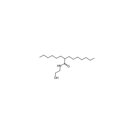 CCCCCCCC(CCCCCC)C(=O)NCCO